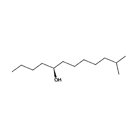 CCCC[C@H](O)CCCCCC(C)C